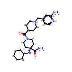 NC(=O)C1(NC2CCCCC2)CCN(C(=O)C2CCN(Cc3ccnc(N)c3)CC2)CC1